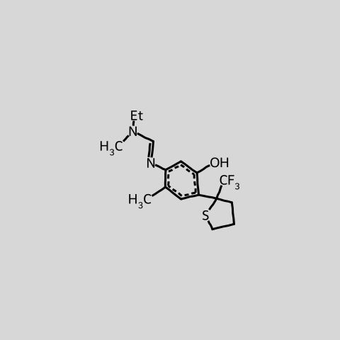 CCN(C)C=Nc1cc(O)c(C2(C(F)(F)F)CCCS2)cc1C